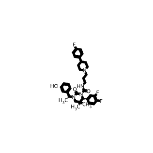 C[C@H](c1ccccc1)N1CC(C)(C)[C@H](c2ccc(F)c(F)c2)N(C(=O)NCCCN2CCC(c3ccc(F)cc3)CC2)C1=O.Cl